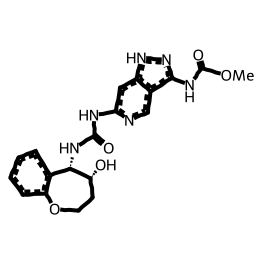 COC(=O)Nc1n[nH]c2cc(NC(=O)N[C@H]3c4ccccc4OCC[C@H]3O)ncc12